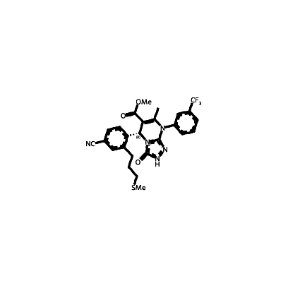 COC(=O)C1=C(C)N(c2cccc(C(F)(F)F)c2)c2n[nH]c(=O)n2[C@@H]1c1ccc(C#N)cc1CCCSC